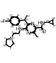 Cc1nc(NCCN2CCCC2)c(C(C)c2ccc(F)cc2)nc1C(=O)NC1CC1